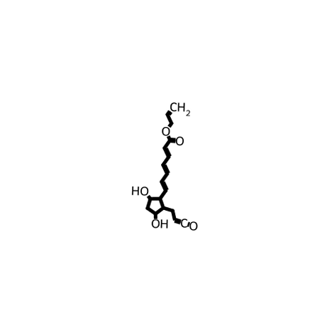 C=CCOC(=O)C=CC=CC=CC1C(O)CC(O)C1CC=C=O